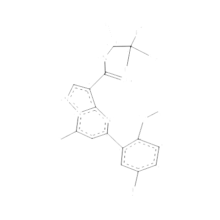 COc1ccc(F)cc1-c1cc(C)n2ncc(C(=O)N[C@H](C)C(F)(F)F)c2n1